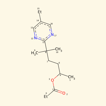 CCC(=O)OC(C)CCC(C)(C)c1ncc(CC)cn1